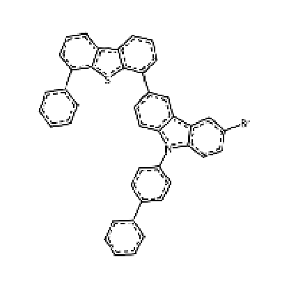 Brc1ccc2c(c1)c1cc(-c3cccc4c3sc3c(-c5ccccc5)cccc34)ccc1n2-c1ccc(-c2ccccc2)cc1